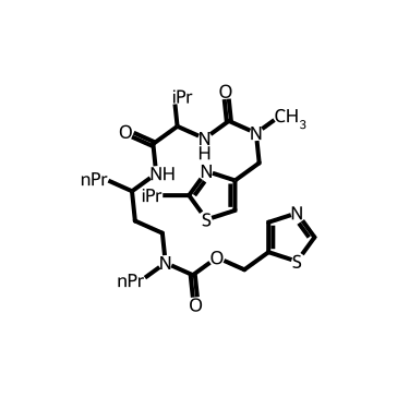 CCCC(CCN(CCC)C(=O)OCc1cncs1)NC(=O)C(NC(=O)N(C)Cc1csc(C(C)C)n1)C(C)C